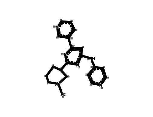 CC(=O)N1CCCC(c2nc(Nc3ccncc3)cc(-c3cccnc3)n2)C1